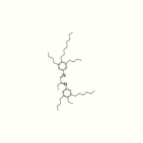 CCCCCCCCc1c(CCCC)cc(N=CC(CC)=Nc2cc(CCCC)c(CC)c(CCCCCC)c2)cc1CCCC